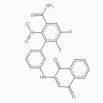 NC(=O)c1cc(F)c(F)c(-c2cccc(NC3=CC(=O)c4ccccc4C3=O)c2)c1[N+](=O)[O-]